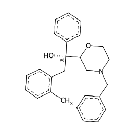 Cc1ccccc1C[C@@](O)(c1ccccc1)C1CN(Cc2ccccc2)CCO1